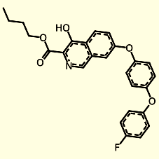 CCCCOC(=O)c1ncc2cc(Oc3ccc(Oc4ccc(F)cc4)cc3)ccc2c1O